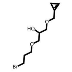 OC(COCCCBr)COCC1=CC1